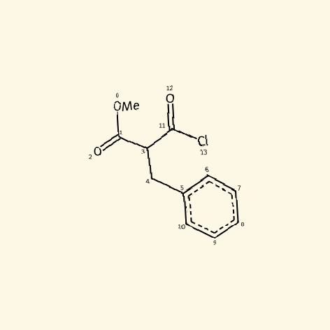 COC(=O)C(Cc1ccccc1)C(=O)Cl